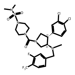 CN(Cc1ccc(C(F)(F)F)c(F)c1)[C@H]1CN(C(=O)N2CCN(S(=O)(=O)N(C)C)CC2)C[C@@H]1c1ccc(Cl)c(Cl)c1